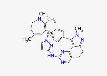 CCn1ccc(Nc2ncc3c(n2)-c2c(nn(C)c2-c2ccc(C4=C(C)N(C)CCC(C)=C4)cc2)CC3)n1